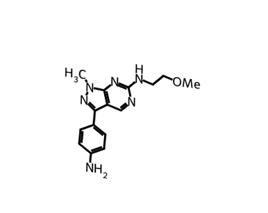 COCCNc1ncc2c(-c3ccc(N)cc3)nn(C)c2n1